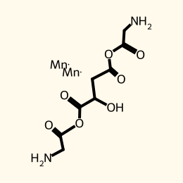 NCC(=O)OC(=O)CC(O)C(=O)OC(=O)CN.[Mn].[Mn]